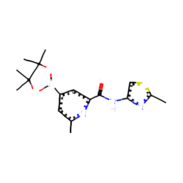 Cc1cc(B2OC(C)(C)C(C)(C)O2)cc(C(=O)Nc2csc(C)n2)n1